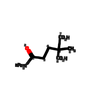 CCCCCC(=O)CCC(C)(C(=O)O)C(=O)O